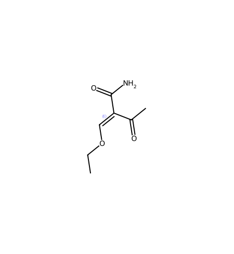 CCO/C=C(\C(C)=O)C(N)=O